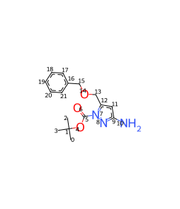 CC(C)(C)OC(=O)n1nc(N)cc1COCc1ccccc1